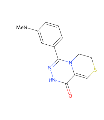 CNc1cccc(C2=NNC(=O)C3=CSCCN32)c1